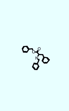 O=C(OCc1ccccc1)C(Cc1ccccc1)N=Cc1ccccc1